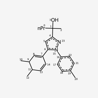 CCCC(C)(O)c1cc(C2=CC(C)C(C)C=C2)n(-c2ccc(C)cc2)n1